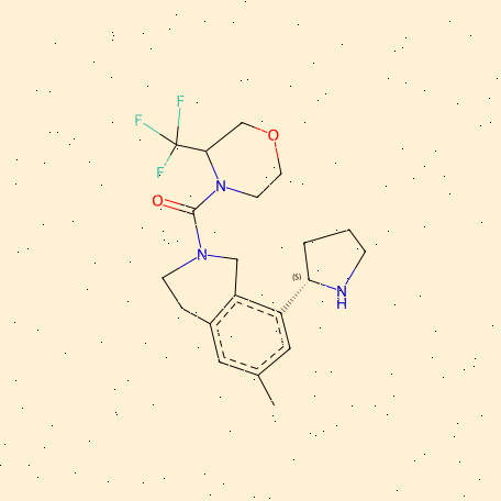 Cc1cc2c(c([C@@H]3CCCN3)c1)CN(C(=O)N1CCOCC1C(F)(F)F)CC2